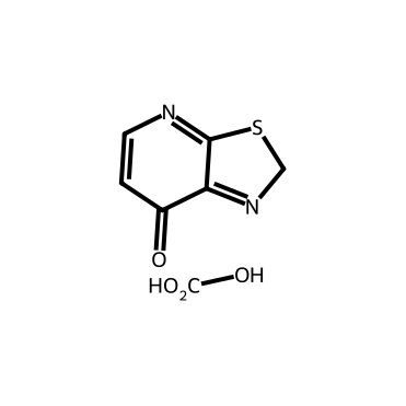 O=C(O)O.O=C1C=CN=C2SCN=C12